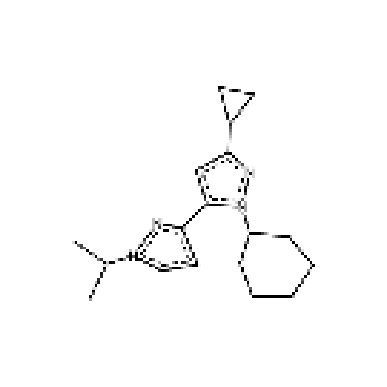 CC(C)n1ccc(-c2cc(C3CC3)nn2C2CCCCC2)n1